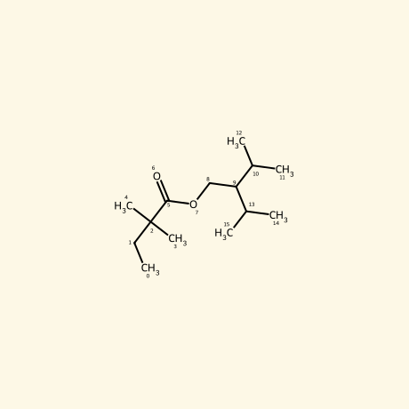 CCC(C)(C)C(=O)OCC(C(C)C)C(C)C